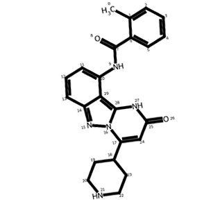 Cc1ccccc1C(=O)Nc1cccc2nn3c(C4CCNCC4)cc(=O)[nH]c3c12